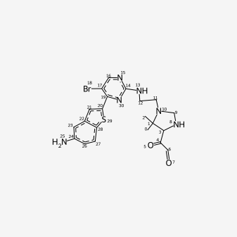 CC1(C)C(C(=O)C=O)NCN1CCNc1ncc(Br)c(-c2cc3cc(N)ccc3s2)n1